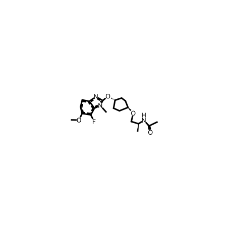 COc1ccc2nc(O[C@H]3CC[C@H](OC[C@H](C)NC(C)=O)CC3)n(C)c2c1F